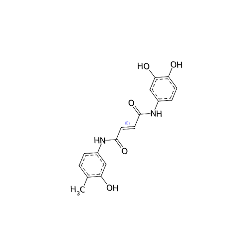 Cc1ccc(NC(=O)/C=C/C(=O)Nc2ccc(O)c(O)c2)cc1O